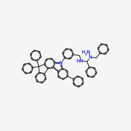 NN(Cc1ccccc1)C(NCc1cccc(-n2c3cc(-c4ccccc4)ccc3c3c4c(ccc32)C(c2ccccc2)(c2ccccc2)c2ccccc2-4)c1)c1ccccc1